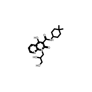 CC1(C)CCC(NC(=O)c2c(O)c3cccnc3n(CC(O)CO)c2=O)CC1